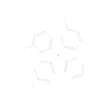 O=c1ccc(C(c2ccccc2)(c2cccc(F)c2)c2cccc(F)c2)c[nH]1